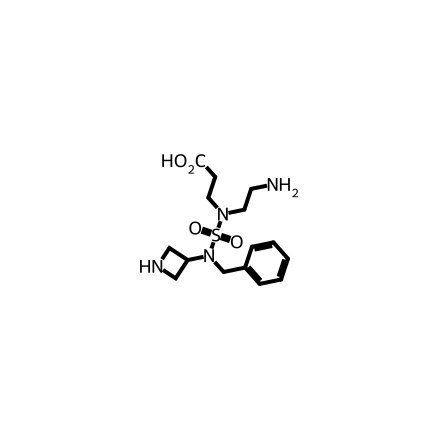 NCCN(CCC(=O)O)S(=O)(=O)N(Cc1ccccc1)C1CNC1